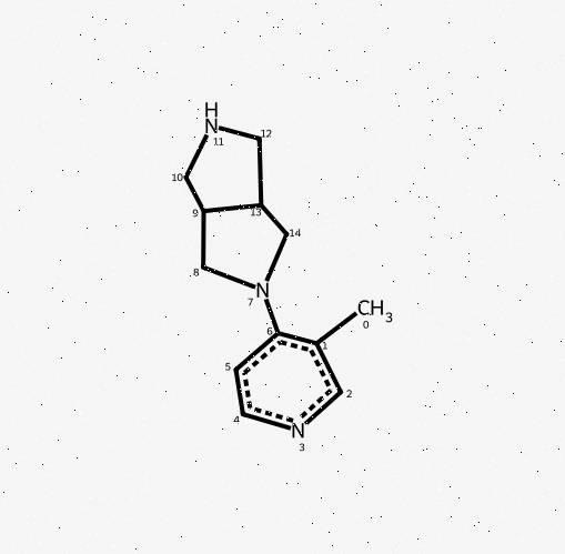 Cc1cnccc1N1CC2CNCC2C1